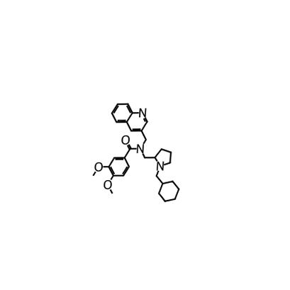 COc1ccc(C(=O)N(Cc2cnc3ccccc3c2)CC2CCCN2CC2CCCCC2)cc1OC